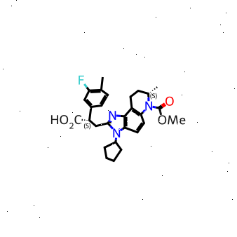 COC(=O)N1c2ccc3c(nc(C[C@H](C(=O)O)c4ccc(C)c(F)c4)n3C3CCCC3)c2CC[C@@H]1C